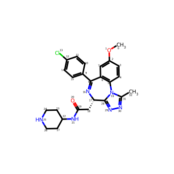 COc1ccc2c(c1)C(c1ccc(Cl)cc1)=N[C@@H](CC(=O)NC1CCNCC1)c1nnc(C)n1-2